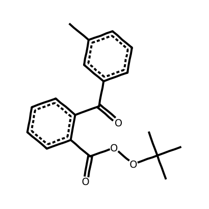 Cc1cccc(C(=O)c2ccccc2C(=O)OOC(C)(C)C)c1